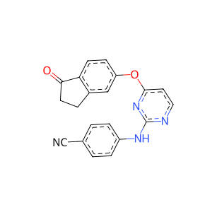 N#Cc1ccc(Nc2nccc(Oc3ccc4c(c3)CCC4=O)n2)cc1